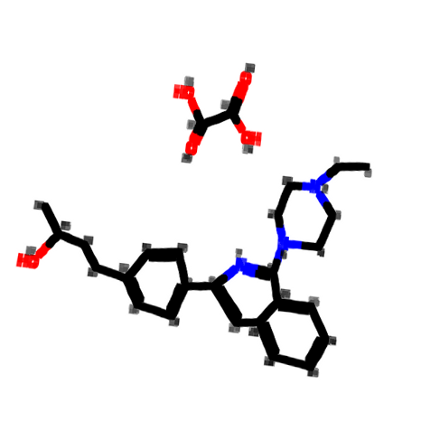 CCN1CCN(c2nc(-c3ccc(CCC(C)O)cc3)cc3ccccc23)CC1.O=C(O)C(=O)O